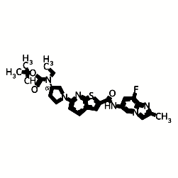 CCN(C(=O)OC(C)(C)C)[C@H]1CCN(c2ccc3cc(C(=O)Nc4cc(F)c5nc(C)cn5c4)sc3n2)C1